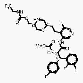 COC(=O)N[C@H](C(=O)Nc1cncc(F)c1CC[C@@H]1CN[C@H](COC(=O)NCC(F)(F)F)CO1)[C@@H](c1ccc(F)cc1)c1cccc(F)c1F